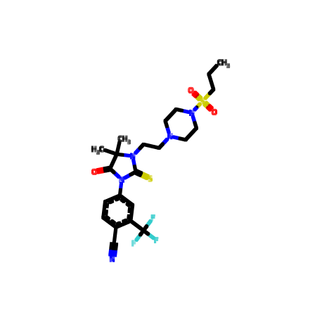 CCCS(=O)(=O)N1CCN(CCN2C(=S)N(c3ccc(C#N)c(C(F)(F)F)c3)C(=O)C2(C)C)CC1